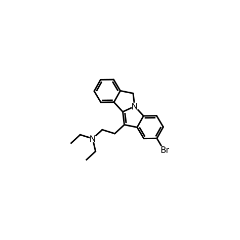 CCN(CC)CCc1c2n(c3ccc(Br)cc13)Cc1ccccc1-2